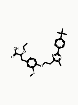 CCOC(Cc1ccc(OCCc2nc(-c3ccc(C(C)(C)C)cc3)sc2C)c(OC)c1)C(=O)O